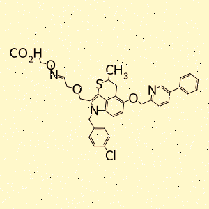 CC1Cc2c(OCc3ccc(-c4ccccc4)cn3)ccc3c2c(c(COCC=NOCC(=O)O)n3Cc2ccc(Cl)cc2)S1